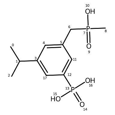 CC(C)c1cc(CP(C)(=O)O)cc(P(=O)(O)O)c1